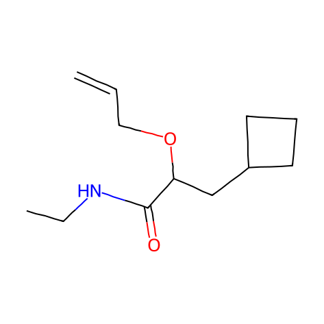 C=CCOC(CC1CCC1)C(=O)NCC